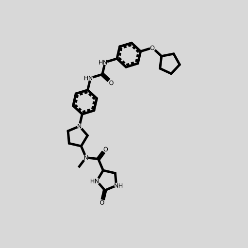 CN(C(=O)C1CNC(=O)N1)C1CCN(c2ccc(NC(=O)Nc3ccc(OC4CCCC4)cc3)cc2)C1